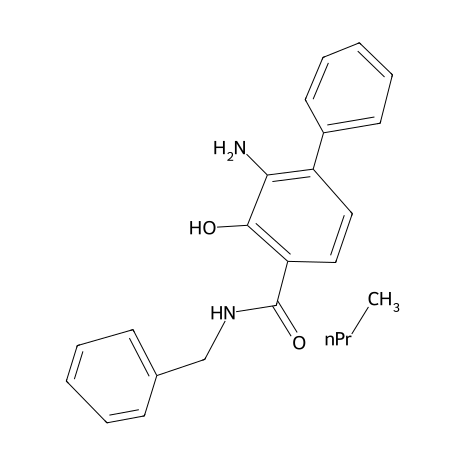 CCCC.Nc1c(-c2ccccc2)ccc(C(=O)NCc2ccccc2)c1O